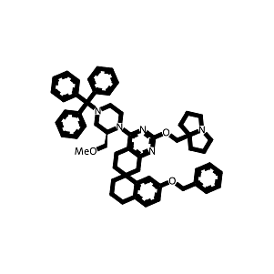 COC[C@H]1CN(C(c2ccccc2)(c2ccccc2)c2ccccc2)CCN1c1nc(OCC23CCCN2CCC3)nc2c1CCC1(CCCc3ccc(OCc4ccccc4)cc31)C2